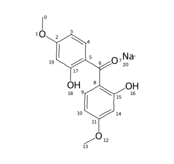 COc1ccc(C(=O)c2ccc(OC)cc2O)c(O)c1.[Na]